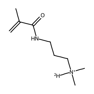 [2H][N+](C)(C)CCCNC(=O)C(=C)C